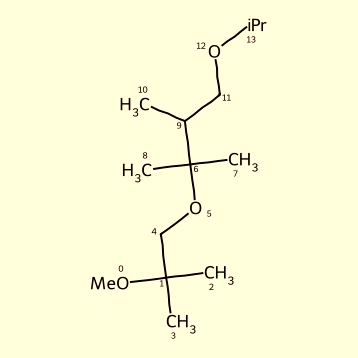 COC(C)(C)COC(C)(C)C(C)COC(C)C